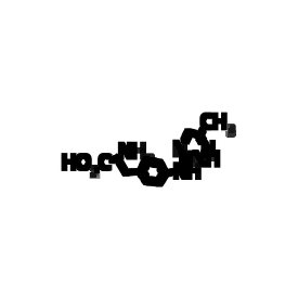 CC1=NNN(Nc2ccc(CC(N)C(=O)O)cc2)N=C1